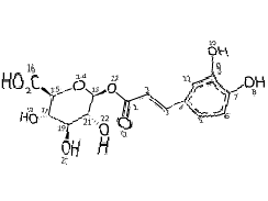 O=C(/C=C/c1ccc(O)c(O)c1)O[C@@H]1O[C@H](C(=O)O)[C@@H](O)[C@H](O)[C@H]1O